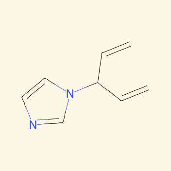 C=CC(C=C)n1ccnc1